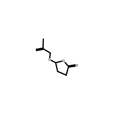 C=C(C)COC1CCC(=O)O1